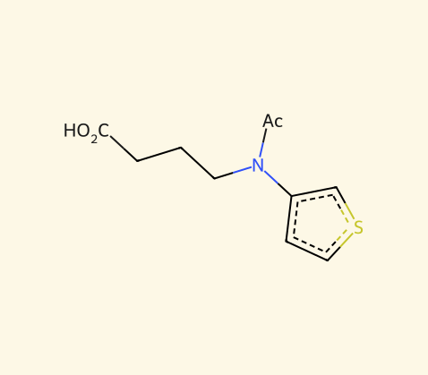 CC(=O)N(CCCC(=O)O)c1ccsc1